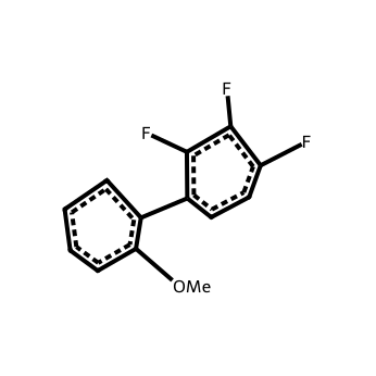 COc1ccccc1-c1ccc(F)c(F)c1F